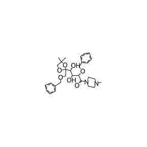 CN1CCN(C(=O)[C@H](OCc2ccccc2)[C@@H](O)[C@H](O)C2(COCc3ccccc3)OCC(C)(C)O2)CC1